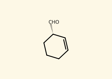 O=C[C@@H]1C=CCCC1